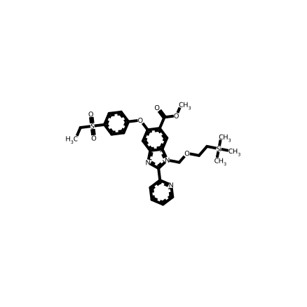 CCS(=O)(=O)c1ccc(Oc2cc3nc(-c4ccccn4)n(COCC[Si](C)(C)C)c3cc2C(=O)OC)cc1